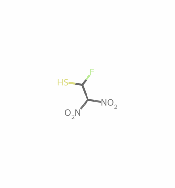 O=[N+]([O-])C(C(F)S)[N+](=O)[O-]